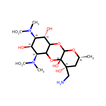 C[C@@H]1C[C@@](O)(CN)[C@]2(O)OC3C(OC2O1)[C@@H](O)[C@H](N(C)C(=O)O)[C@H](O)[C@@H]3N(C)C(=O)O